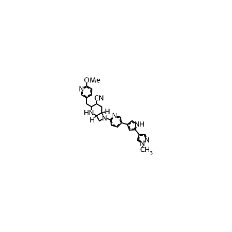 COc1ccc(CC2N[C@H]3CN(c4ccc(-c5c[nH]c(-c6cnn(C)c6)c5)cn4)[C@H]3CC2C#N)cn1